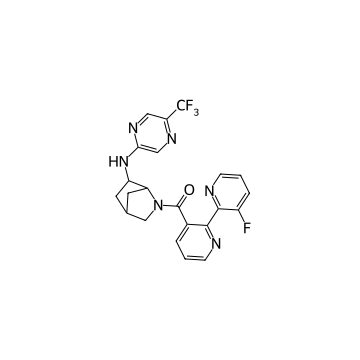 O=C(c1cccnc1-c1ncccc1F)N1CC2CC(Nc3cnc(C(F)(F)F)cn3)C1C2